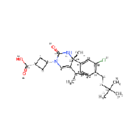 CC(C)C1=CN([C@H]2C[C@@H](C(=O)O)C2)C(=O)N[C@]1(C)c1ccc(CCC(C)(C)C)c(Cl)c1